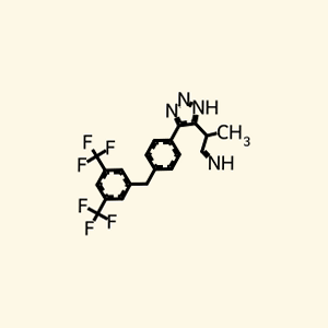 CC(C=N)c1[nH]nnc1-c1ccc(Cc2cc(C(F)(F)F)cc(C(F)(F)F)c2)cc1